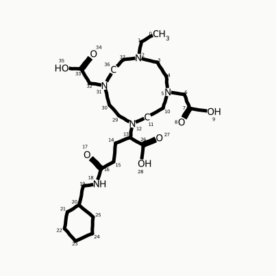 CCN1CCN(CC(=O)O)CCN(C(CCC(=O)NCC2CCCCC2)C(=O)O)CCN(CC(=O)O)CC1